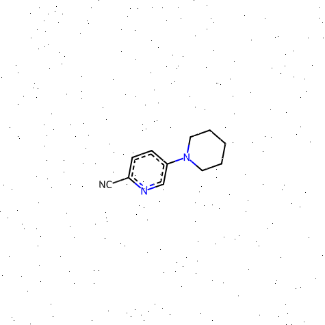 N#Cc1ccc(N2CCCCC2)cn1